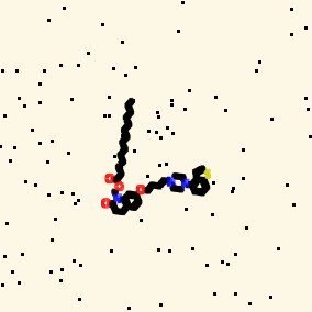 CCCCCCCCCCCCCC(=O)OCN1C(=O)CCc2ccc(OCCCCN3CCN(c4cccc5sccc45)CC3)cc21